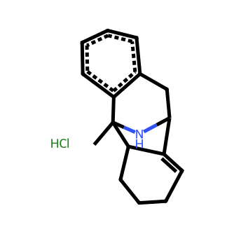 CC12NC(Cc3ccccc31)C1=CCCCC12.Cl